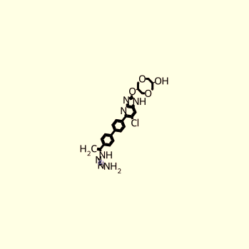 C=C(N/N=N\N)c1ccc(-c2ccc(-c3nc4nc(O[C@H]5COC[C@@H](O)COC5)[nH]c4cc3Cl)cc2)cc1